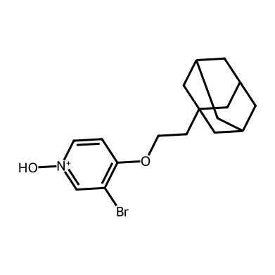 O[n+]1ccc(OCCC23CC4CC(CC(C4)C2)C3)c(Br)c1